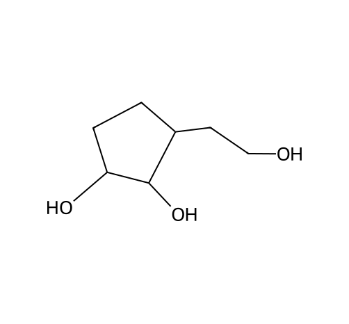 OCCC1CCC(O)C1O